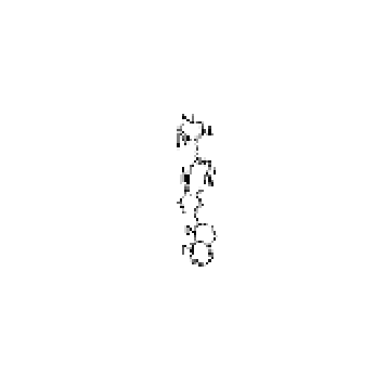 c1cnc2nc(-c3ccc4nc(-c5ncncn5)cnc4c3)ccc2c1